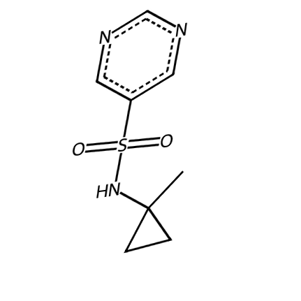 CC1(NS(=O)(=O)c2cncnc2)CC1